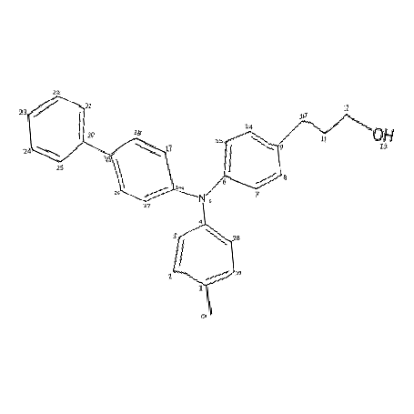 Cc1ccc(N(c2ccc(CCCO)cc2)c2ccc(-c3ccccc3)cc2)cc1